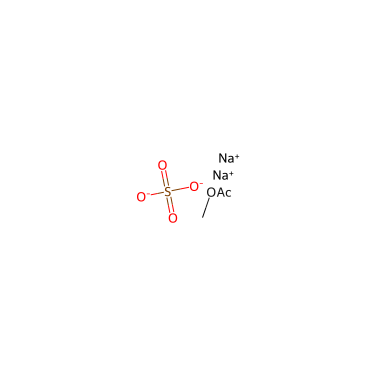 COC(C)=O.O=S(=O)([O-])[O-].[Na+].[Na+]